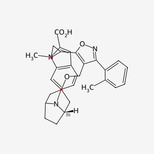 Cc1ccccc1-c1noc(C2CC2)c1COC1CC2CC[C@@H](C1)N2c1ccc2cc(C(=O)O)n(C)c2c1